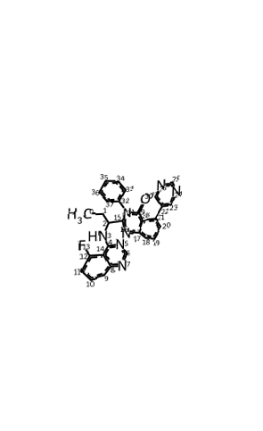 CCC(Nc1ncnc2cccc(F)c12)c1nc2cccc(-c3cncnc3)c2c(=O)n1-c1ccccc1